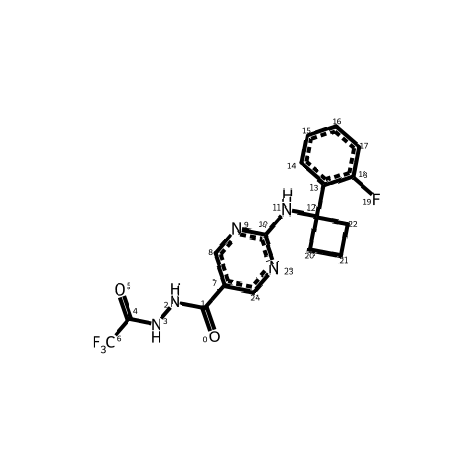 O=C(NNC(=O)C(F)(F)F)c1cnc(NC2(c3ccccc3F)CCC2)nc1